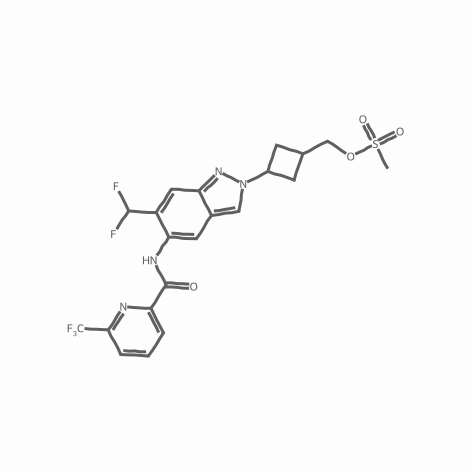 CS(=O)(=O)OCC1CC(n2cc3cc(NC(=O)c4cccc(C(F)(F)F)n4)c(C(F)F)cc3n2)C1